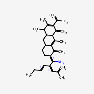 C=C(C)/C=C(/C=C/CC)C(\N)=C1/CCC2CC3C(C)C(C)=C(C(=C)C)C(=C)C3C(C)=C2C1=C